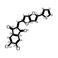 O=C1C(=Cc2cc3oc(-c4cccs4)cc3o2)C(=O)c2cc(Cl)c(Cl)cc21